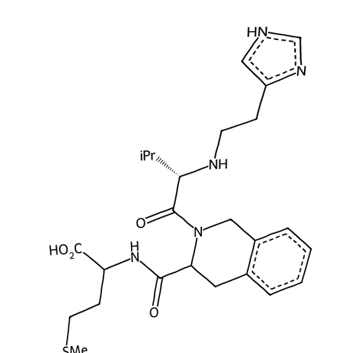 CSCCC(NC(=O)C1Cc2ccccc2CN1C(=O)[C@@H](NCCc1c[nH]cn1)C(C)C)C(=O)O